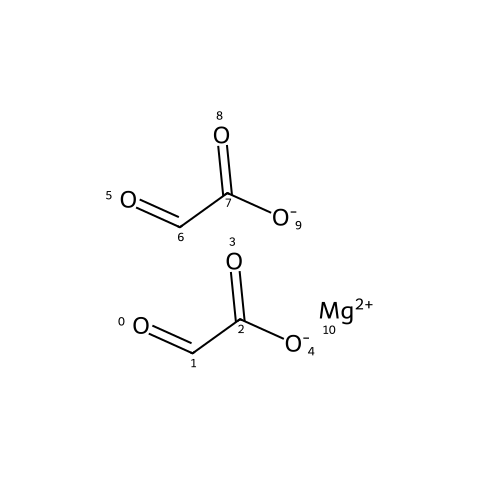 O=CC(=O)[O-].O=CC(=O)[O-].[Mg+2]